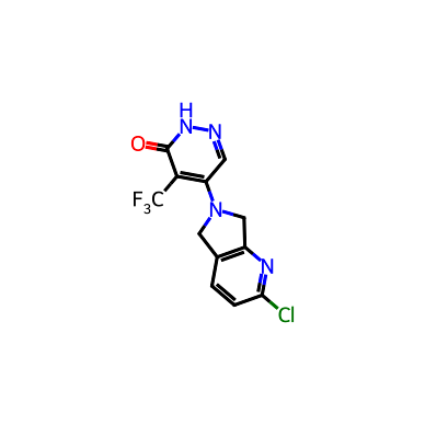 O=c1[nH]ncc(N2Cc3ccc(Cl)nc3C2)c1C(F)(F)F